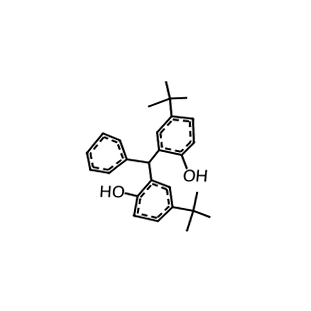 CC(C)(C)c1ccc(O)c(C(c2ccccc2)c2cc(C(C)(C)C)ccc2O)c1